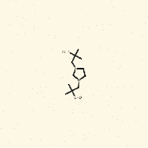 CC(C)(C=O)CN1CCN(CC(C)(C)C=O)C1